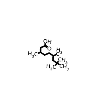 CC(CCC(C)CC(C)(C)C)CC(=O)O